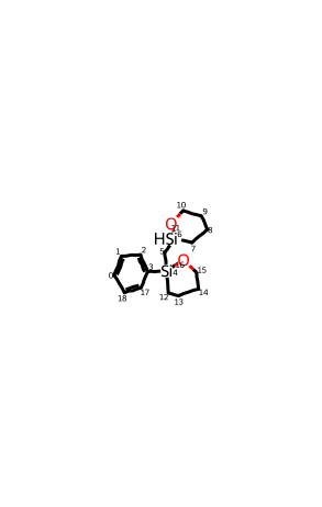 c1ccc([Si]2(C[SiH]3CCCCO3)CCCCO2)cc1